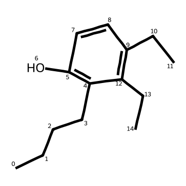 CCCCc1c(O)ccc(CC)c1CC